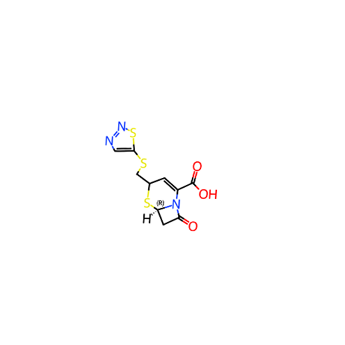 O=C(O)C1=CC(CSc2cnns2)S[C@@H]2CC(=O)N12